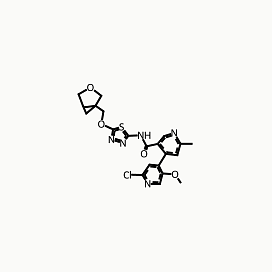 COc1cnc(Cl)cc1-c1cc(C)ncc1C(=O)Nc1nnc(OCC23COCC2C3)s1